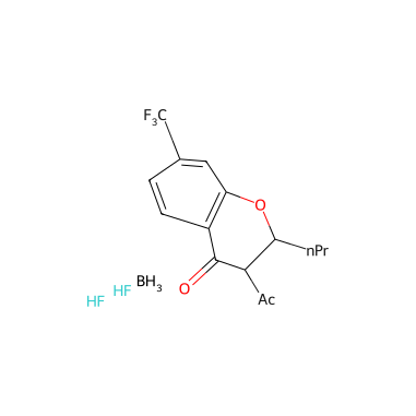 B.CCCC1Oc2cc(C(F)(F)F)ccc2C(=O)C1C(C)=O.F.F